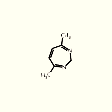 CC1=NCN=C(C)C=C1